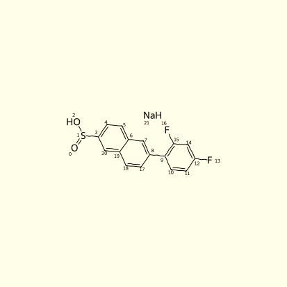 O=S(O)c1ccc2cc(-c3ccc(F)cc3F)ccc2c1.[NaH]